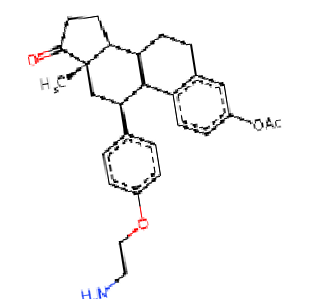 CC(=O)Oc1ccc2c(c1)CCC1C2[C@@H](c2ccc(OCCN)cc2)C[C@]2(C)C(=O)CCC12